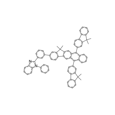 CC1(C)c2ccccc2-c2ccc(-c3c4ccccc4c(-c4ccc5c(c4)C(C)(C)c4ccccc4-5)c4cc5c(cc34)-c3ccc(-c4cccc(-c6nc7ccccc7n6-c6ccccc6)c4)cc3C5(C)C)cc21